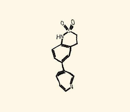 O=S1(=O)CCc2cc(-c3cccnc3)ccc2N1